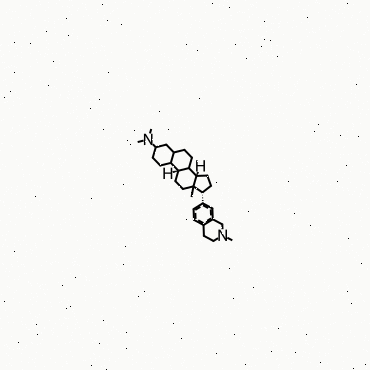 CN1CCc2ccc([C@H]3CC[C@H]4C5CCC6CC(N(C)C)CCC6[C@H]5CCC34C)cc2C1